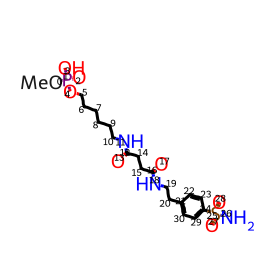 COP(=O)(O)OCCCCCCNC(=O)CCC(=O)NCCc1ccc(S(N)(=O)=O)cc1